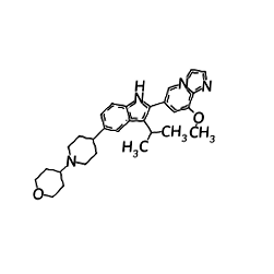 COc1cc(-c2[nH]c3ccc(C4CCN(C5CCOCC5)CC4)cc3c2C(C)C)cn2ccnc12